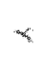 CCCCCC1CN(CC(=O)N2CCC(C)C2)C(=O)c2cc(-c3ccc(Cl)cc3)nn21